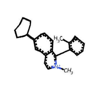 Cc1ccccc1-c1c2ccc(C3CCCC3)cc2cc[n+]1C